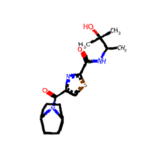 CC(NC(=O)c1nc(C(=O)N2C3CCC2CC3)cs1)C(C)(C)O